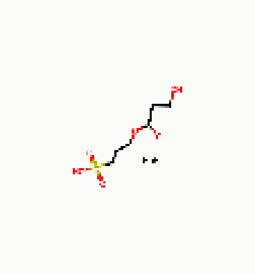 O=S(=O)(O)CCCOC(O)CCO.[NaH]